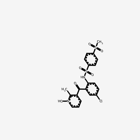 Cc1c(C(=O)c2cc(Cl)ccc2NS(=O)(=O)c2ccc(S(C)(=O)=O)cc2)ccc[n+]1O